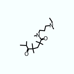 CCN(C)CCCN(C)C(=O)C(C)(C)CC(C)(C)C(=O)C(C)C